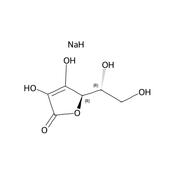 O=C1O[C@H]([C@H](O)CO)C(O)=C1O.[NaH]